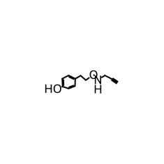 C#CCNOCCc1ccc(O)cc1